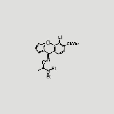 CCN(CC)C(C)ON=C(c1cccs1)c1ccc(OC)c(Cl)c1Cl